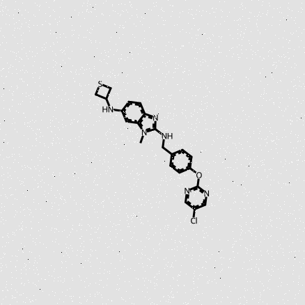 Cn1c(NCc2ccc(Oc3ncc(Cl)cn3)cc2)nc2ccc(NC3CSC3)cc21